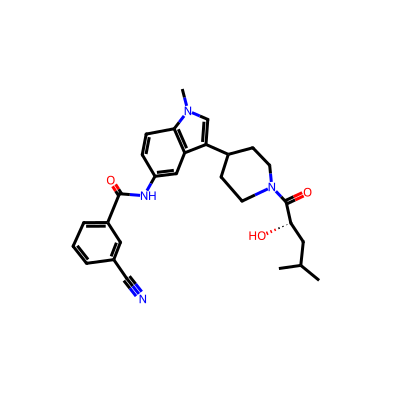 CC(C)C[C@H](O)C(=O)N1CCC(c2cn(C)c3ccc(NC(=O)c4cccc(C#N)c4)cc23)CC1